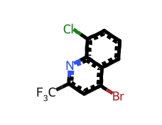 FC(F)(F)c1cc(Br)c2cccc(Cl)c2n1